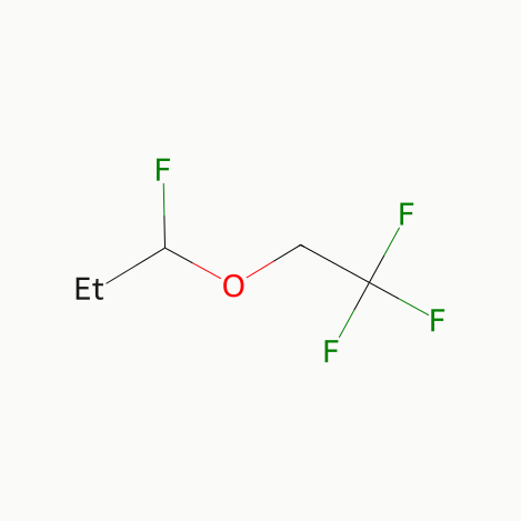 CCC(F)OCC(F)(F)F